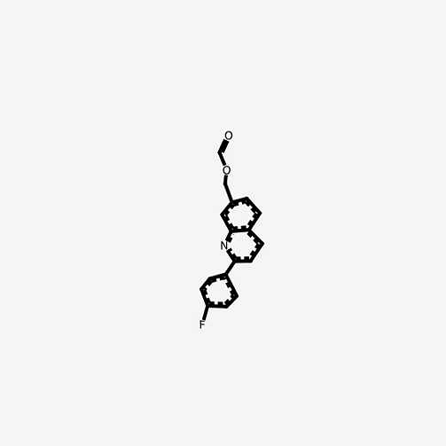 O=COCc1ccc2ccc(-c3ccc(F)cc3)nc2c1